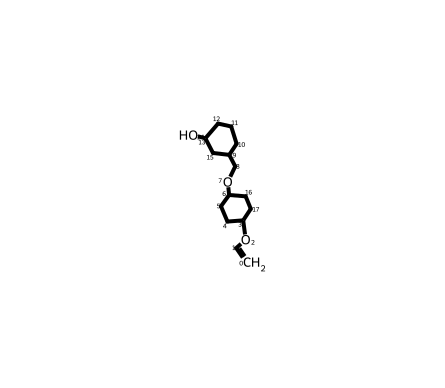 C=COC1CCC(OCC2CCCC(O)C2)CC1